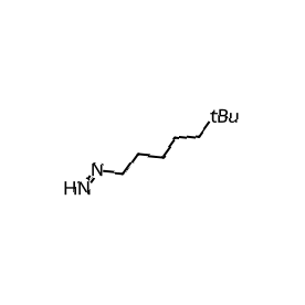 CC(C)(C)CCCCCN=N